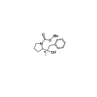 CC(C)(C)OC(=O)N1CCCC1[C@](C)(O)Cc1ccccc1